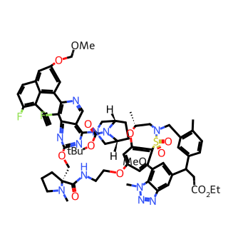 C#Cc1c(F)ccc2cc(OCOC)cc(-c3ncc4c(N5C[C@H]6CC[C@@H](C5)N6C(=O)OC(C)(C)C)nc(OC[C@@]5(C(=O)NCCOc6ccc7c(c6)O[C@H](C)CN(Cc6cc(C(CC(=O)OCC)c8cc(OC)c9c(c8)nnn9C)ccc6C)S7(=O)=O)CCCN5C)nc4c3F)c12